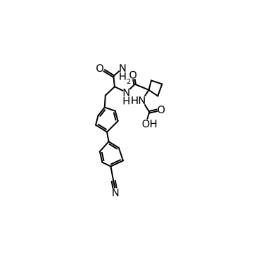 N#Cc1ccc(-c2ccc(CC(NC(=O)C3(NC(=O)O)CCC3)C(N)=O)cc2)cc1